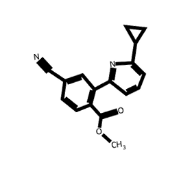 COC(=O)c1ccc(C#N)cc1-c1cccc(C2CC2)n1